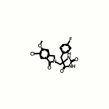 COc1cc2c(cc1Cl)C(=O)N(CC1(Cc3ccc(F)cc3)NC(=O)NC1=O)C2